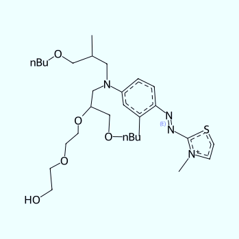 CCCCOCC(C)CN(CC(COCCCC)OCCOCCO)c1ccc(/N=N/c2scc[n+]2C)c(C)c1